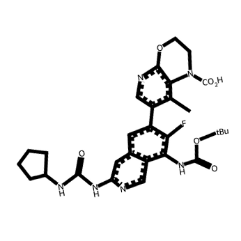 Cc1c(-c2cc3cc(NC(=O)NC4CCCC4)ncc3c(NC(=O)OC(C)(C)C)c2F)cnc2c1N(C(=O)O)CCO2